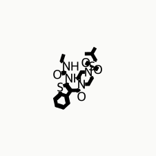 CCNC(=O)Nc1sc2ccccc2c1C(=O)N1CCN(S(=O)(=O)CC(C)C)CC1